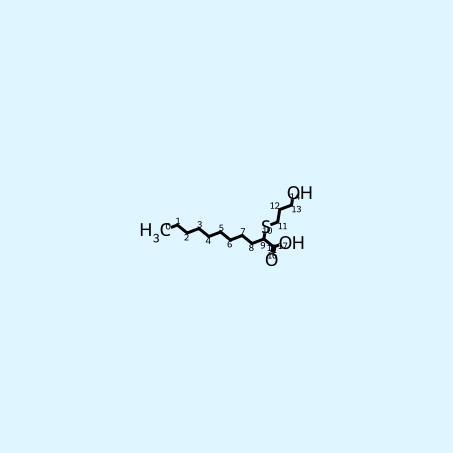 CCCCCCCCCC(SCCCO)C(=O)O